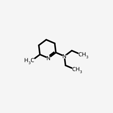 CCN(CC)C1=NC(C)CCC1